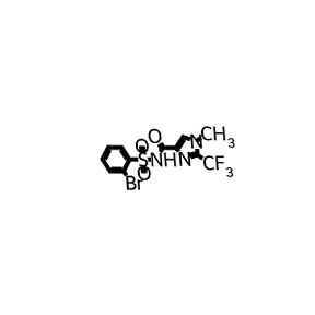 Cn1cc(C(=O)NS(=O)(=O)c2ccccc2Br)nc1C(F)(F)F